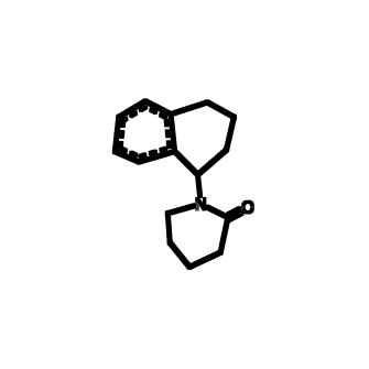 O=C1CCCCN1C1CCCc2ccccc21